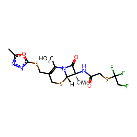 CO[C@@]1(NC(=O)CSC(F)(F)CF)C(=O)N2C(C(=O)O)=C(CSc3nnc(C)o3)CS[C@H]21